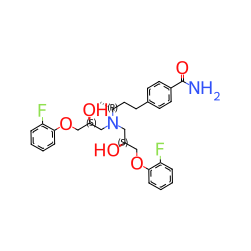 C[C@H](CCc1ccc(C(N)=O)cc1)N(C[C@H](O)COc1ccccc1F)C[C@H](O)COc1ccccc1F